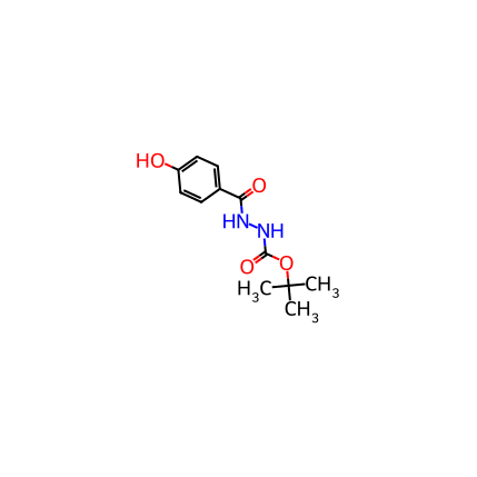 CC(C)(C)OC(=O)NNC(=O)c1ccc(O)cc1